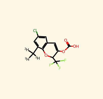 [2H]C([2H])([2H])c1cc(Cl)cc2c1OC(C(F)(F)F)C(OC(=O)O)=C2